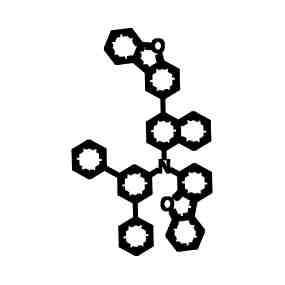 c1ccc(-c2cc(-c3ccccc3)cc(N(c3ccc(-c4ccc5oc6ccccc6c5c4)c4ccccc34)c3cccc4c3oc3ccccc34)c2)cc1